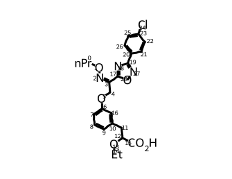 CCCON=C(COc1cccc(CC(OCC)C(=O)O)c1)c1nc(-c2ccc(Cl)cc2)no1